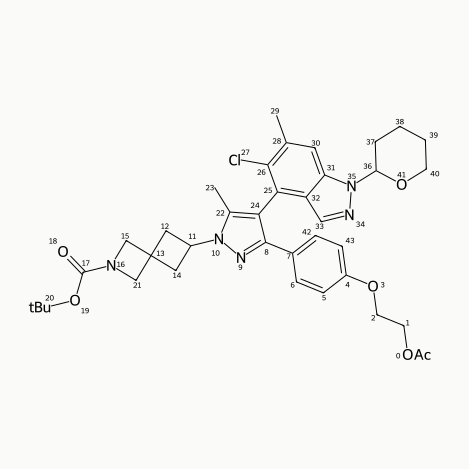 CC(=O)OCCOc1ccc(-c2nn(C3CC4(C3)CN(C(=O)OC(C)(C)C)C4)c(C)c2-c2c(Cl)c(C)cc3c2cnn3C2CCCCO2)cc1